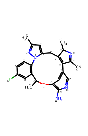 Cc1cc2n(n1)-c1ccc(F)cc1C(C)Oc1cc(cnc1N)C1=C(C2)C(C)N=C1C#N